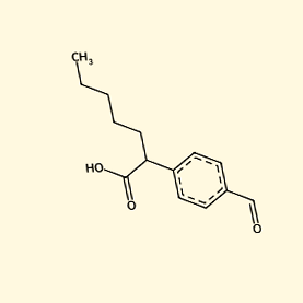 CCCCCC(C(=O)O)c1ccc(C=O)cc1